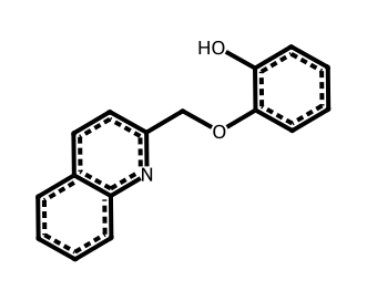 Oc1ccccc1OCc1ccc2ccccc2n1